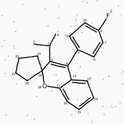 CC(C)C1=C(c2ccc(F)cc2)c2ccccc2OC12CCCC2